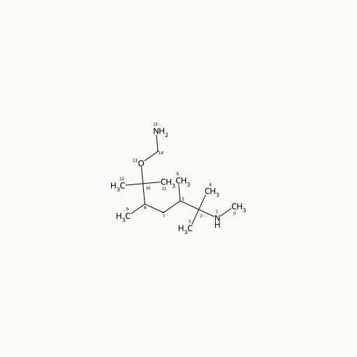 CNC(C)(C)C(C)CC(C)C(C)(C)OCN